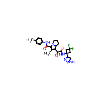 Cc1ccc(NC(=O)c2c(C)c(C(=O)C(=O)NC3(c4c[nH]nn4)CC(F)(F)C3)c3n2CCC3)cc1